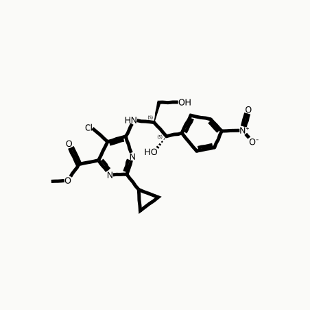 COC(=O)c1nc(C2CC2)nc(N[C@@H](CO)[C@@H](O)c2ccc([N+](=O)[O-])cc2)c1Cl